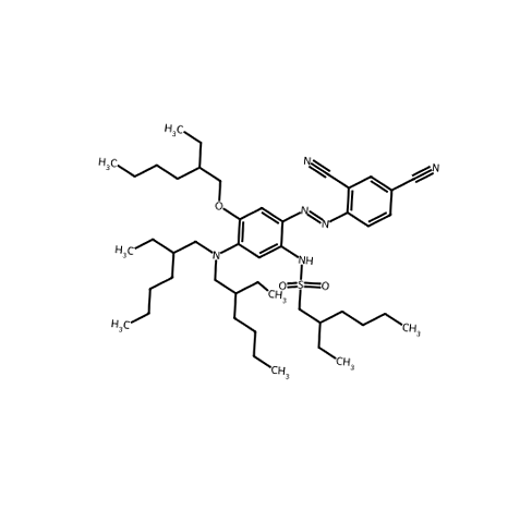 CCCCC(CC)COc1cc(N=Nc2ccc(C#N)cc2C#N)c(NS(=O)(=O)CC(CC)CCCC)cc1N(CC(CC)CCCC)CC(CC)CCCC